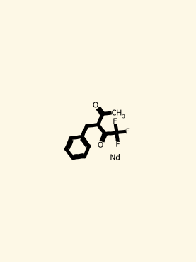 CC(=O)C(Cc1ccccc1)C(=O)C(F)(F)F.[Nd]